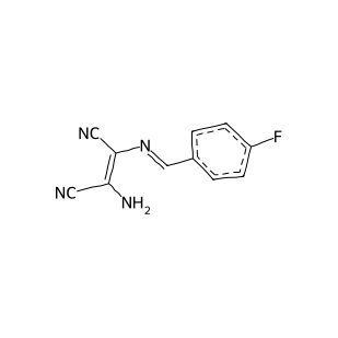 N#CC(N)=C(C#N)N=Cc1ccc(F)cc1